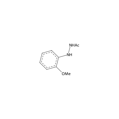 COc1ccccc1NNC(C)=O